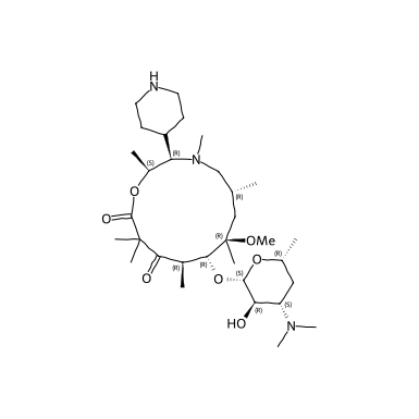 CO[C@]1(C)C[C@@H](C)CN(C)[C@H](C2CCNCC2)[C@H](C)OC(=O)C(C)(C)C(=O)[C@H](C)[C@H]1O[C@@H]1O[C@H](C)C[C@H](N(C)C)[C@H]1O